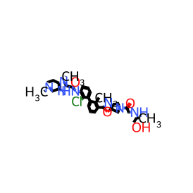 Cc1c(-c2nc3c(o2)CN(C(=O)CNC(C)CO)C3)cccc1-c1cccc(NC(=O)c2nc3c(n2C)CCN(C)C3)c1Cl